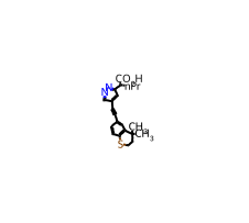 CCCC(C(=O)O)c1cc(C#Cc2ccc3c(c2)C(C)(C)CCS3)cnn1